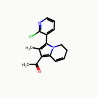 CC(=O)c1c(C)c(-c2cccnc2Cl)n2c1C=CCC2